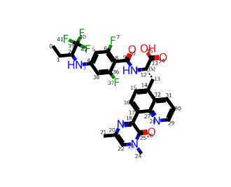 CCC(Nc1cc(F)c(C(=O)N[C@@H](Cc2ccc(-c3nc(C)cn(C)c3=O)c3ncccc23)C(=O)O)c(F)c1)C(F)(F)F